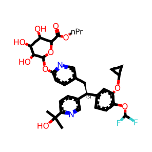 CCCOC(=O)C1OC(Oc2ccc(C[C@H](c3ccc(C(C)(C)O)nc3)c3ccc(OC(F)F)c(OC4CC4)c3)cn2)C(O)C(O)C1O